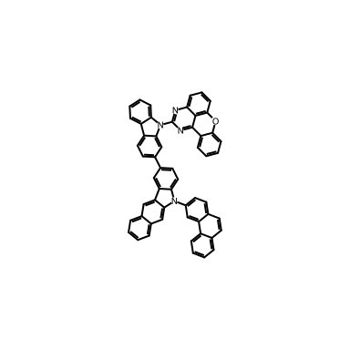 c1ccc2c(c1)Oc1cccc3nc(-n4c5ccccc5c5ccc(-c6ccc7c(c6)c6cc8ccccc8cc6n7-c6ccc7ccc8ccccc8c7c6)cc54)nc-2c13